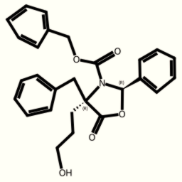 O=C(OCc1ccccc1)N1[C@@H](c2ccccc2)OC(=O)[C@@]1(CCCO)Cc1ccccc1